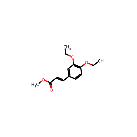 CCOc1ccc(C=CC(=O)OC)cc1OCC